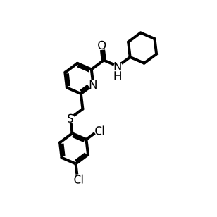 O=C(NC1CCCCC1)c1cccc(CSc2ccc(Cl)cc2Cl)n1